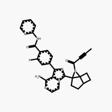 CC#CC(=O)N1C2(c3nc(-c4ccc(C(=O)Nc5ccccn5)c(F)c4)c4c(N)nccn34)CCC3CCC312